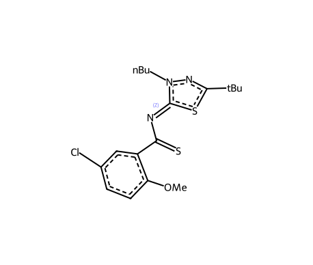 CCCCn1nc(C(C)(C)C)s/c1=N\C(=S)c1cc(Cl)ccc1OC